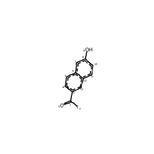 O=C(I)c1ccc2cc(O)ccc2c1